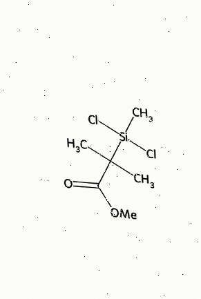 COC(=O)C(C)(C)[Si](C)(Cl)Cl